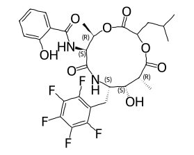 CC(C)CC1OC(=O)[C@H](C)[C@H](O)[C@H](Cc2c(F)c(F)c(F)c(F)c2F)NC(=O)[C@@H](NC(=O)c2ccccc2O)[C@@H](C)OC1=O